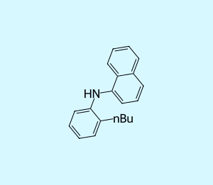 CCCCc1ccccc1Nc1cccc2ccccc12